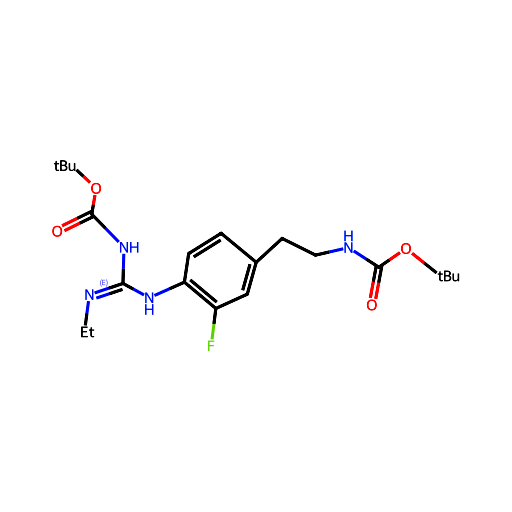 CC/N=C(/NC(=O)OC(C)(C)C)Nc1ccc(CCNC(=O)OC(C)(C)C)cc1F